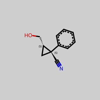 N#C[C@@]1(c2ccccc2)C[C@@H]1CO